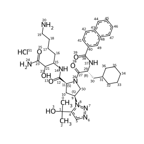 CC(C)(O)c1cnnn1[C@H]1C[C@@H](C(=O)NC(CCCCN)C(O)C(N)=O)N(C(=O)[C@@H](CC2CCCCC2)NC(=O)c2ccc3ccccc3c2)C1.Cl